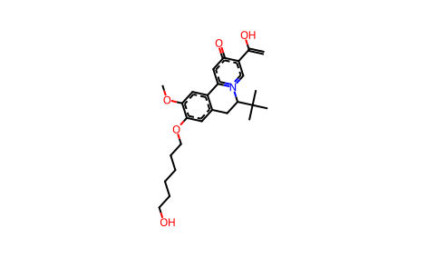 C=C(O)c1cn2c(cc1=O)-c1cc(OC)c(OCCCCCCO)cc1CC2C(C)(C)C